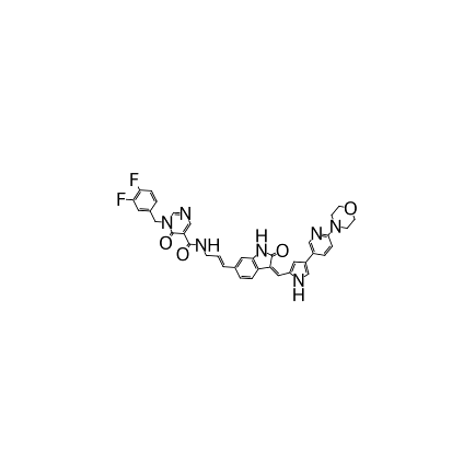 O=C1Nc2cc(C=CCNC(=O)c3cncn(Cc4ccc(F)c(F)c4)c3=O)ccc2C1=Cc1cc(-c2ccc(N3CCOCC3)nc2)c[nH]1